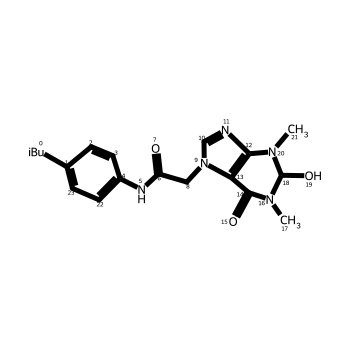 CCC(C)c1ccc(NC(=O)Cn2cnc3c2C(=O)N(C)C(O)N3C)cc1